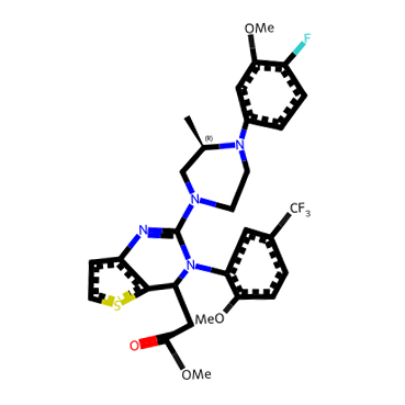 COC(=O)CC1c2sccc2N=C(N2CCN(c3ccc(F)c(OC)c3)[C@H](C)C2)N1c1cc(C(F)(F)F)ccc1OC